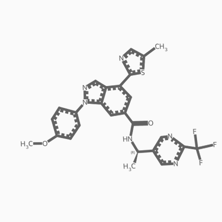 COc1ccc(-n2ncc3c(-c4ncc(C)s4)cc(C(=O)N[C@H](C)c4cnc(C(F)(F)F)nc4)cc32)cc1